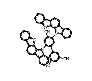 N#Cc1cc(C#N)cc(-c2cc(-n3c4ccccc4c4ccc5c6ccccc6oc5c43)c(C#N)cc2-n2c3ccccc3c3ccc4c5ccccc5oc4c32)c1